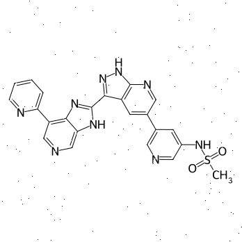 CS(=O)(=O)Nc1cncc(-c2cnc3[nH]nc(-c4nc5c(-c6ccccn6)cncc5[nH]4)c3c2)c1